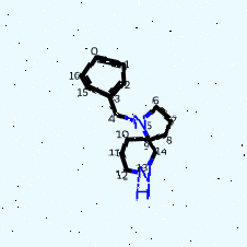 c1ccc(CN2CCCC23CCCNC3)cc1